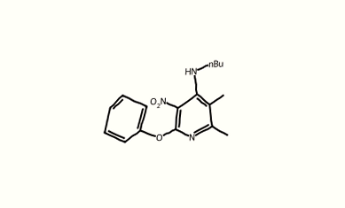 CCCCNc1c(C)c(C)nc(Oc2ccccc2)c1[N+](=O)[O-]